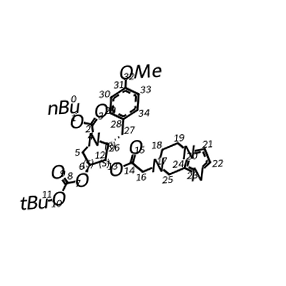 CCCCOC(=O)N1C[C@H](OC(=O)OC(C)(C)C)[C@@H](OC(=O)CN2CCn3ccnc3C2)[C@H]1Cc1ccc(OC)cc1